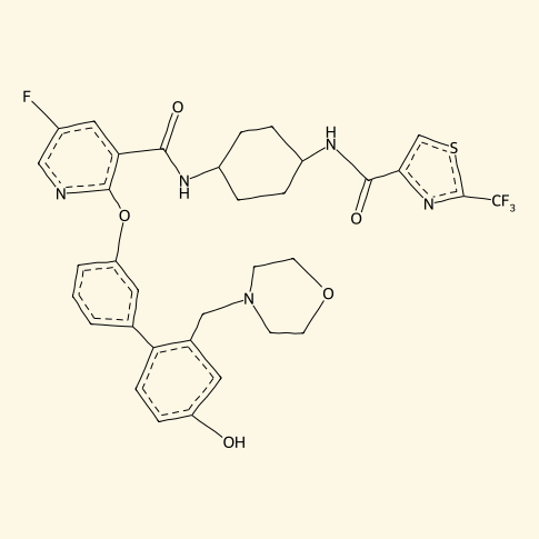 O=C(NC1CCC(NC(=O)c2cc(F)cnc2Oc2cccc(-c3ccc(O)cc3CN3CCOCC3)c2)CC1)c1csc(C(F)(F)F)n1